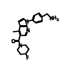 Cc1c(C(=O)N2CCC(F)CC2)cnc2c1ccn2-c1ccc(CN)cc1